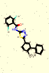 O=C(Nc1nnc(-c2ccc(S(=O)(=O)O)c(-c3ccccc3)c2)s1)c1c(F)cccc1F